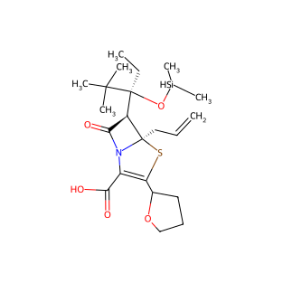 C=CC[C@]12SC(C3CCCO3)=C(C(=O)O)N1C(=O)[C@H]2[C@](CC)(O[SiH](C)C)C(C)(C)C